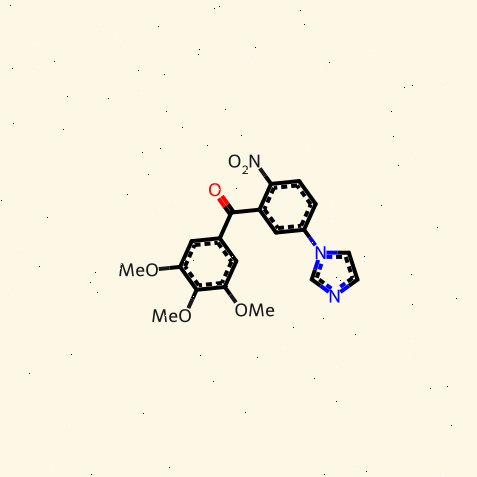 COc1cc(C(=O)c2cc(-n3ccnc3)ccc2[N+](=O)[O-])cc(OC)c1OC